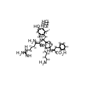 Cc1cc(O)cc(C)c1C[C@H](NC(=O)[C@H](N)CCCNC(=N)N)C(=O)N[C@@H](CCCCN)C(=O)N[C@@H](Cc1ccccc1)C(=O)O.Cl.Cl.Cl